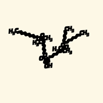 CCCCCCCCCCCOC(=O)C(C)(C)CCCCCCOC(=O)[C@@H]1C[C@H](O)CN1CCCCCCC(C)(C)C(=O)OC(CCCCCC)CCCCCCCC